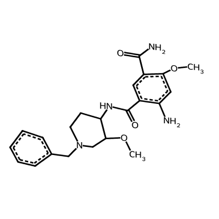 COc1cc(N)c(C(=O)NC2CCN(Cc3ccccc3)CC2OC)cc1C(N)=O